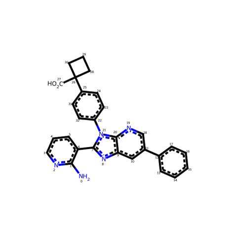 Nc1ncccc1-c1nc2cc(-c3ccccc3)cnc2n1-c1ccc(C2(C(=O)O)CCC2)cc1